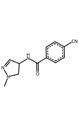 CN1CC(NC(=O)c2ccc(C#N)cc2)C=N1